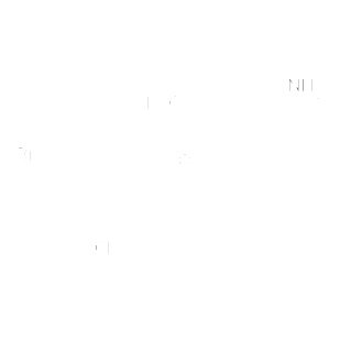 Cc1cc(Br)cc(COc2ccc(N)cc2C)c1